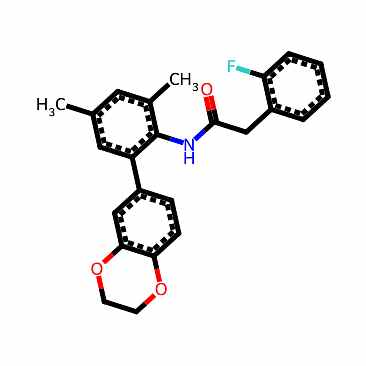 Cc1cc(C)c(NC(=O)Cc2ccccc2F)c(-c2ccc3c(c2)OCCO3)c1